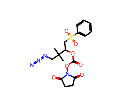 CC(C)(CN=[N+]=[N-])C(CS(=O)(=O)c1ccccc1)OC(=O)ON1C(=O)CCC1=O